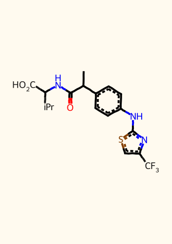 CC(C(=O)NC(C(=O)O)C(C)C)c1ccc(Nc2nc(C(F)(F)F)cs2)cc1